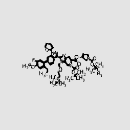 CCc1cc(OC)c(F)cc1-c1ccc2c(-c3nc4c(n3COCC[Si](C)(C)C)CN(C(=O)OC(C)(C)C)C(C(=O)O[C@@H]3CCN(C(=O)OC(C)(C)C)C3)C4)nn(C3CCCCO3)c2c1